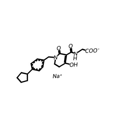 O=C([O-])CNC(=O)C1=C(O)CCN(Cc2ccc(C3CCCC3)cc2)C1=O.[Na+]